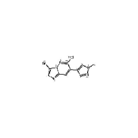 Cn1cc(-c2cc3ncc(Br)n3nc2Cl)cn1